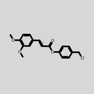 COc1ccc(/C=C/C(=O)Oc2ccc(CCl)cc2)cc1OC